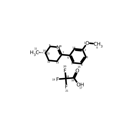 COc1cccc(C2=NC[C@@H](C)CC2)c1.O=C(O)C(F)(F)F